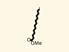 COC(=O)CCCCCCCCCCCCI